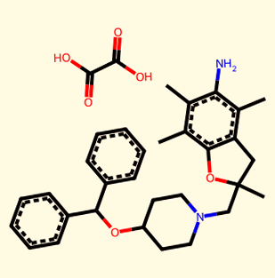 Cc1c(C)c2c(c(C)c1N)CC(C)(CN1CCC(OC(c3ccccc3)c3ccccc3)CC1)O2.O=C(O)C(=O)O